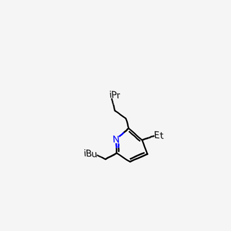 CCc1ccc(CC(C)CC)nc1CCC(C)C